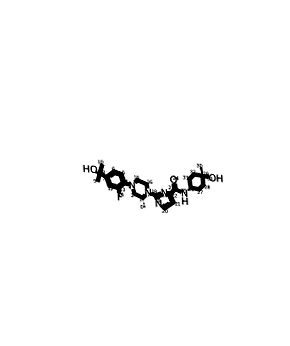 C[C@@H]1CN(c2ccc(C(C)(C)O)cc2F)CCN1c1nccc(C(=O)N[C@H]2CC[C@@](C)(O)CC2)n1